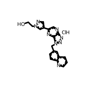 Cl.OCCn1cc(-c2cnc3nnn(Cc4ccc5ncccc5c4)c3n2)cn1